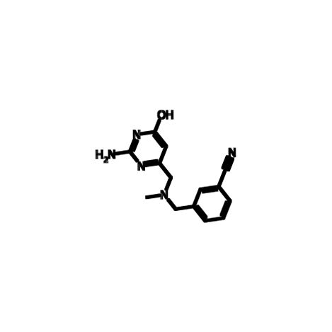 CN(Cc1cccc(C#N)c1)Cc1cc(O)nc(N)n1